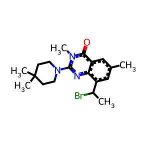 Cc1cc(C(C)Br)c2nc(N3CCC(C)(C)CC3)n(C)c(=O)c2c1